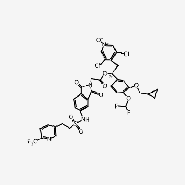 O=C(CN1C(=O)c2ccc(NS(=O)(=O)CCc3ccc(C(F)(F)F)nc3)cc2C1=O)O[C@@H](Cc1c(Cl)c[n+]([O-])cc1Cl)c1ccc(OC(F)F)c(OCC2CC2)c1